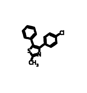 Cc1nc(-c2ccc(Cl)cc2)c(-c2ccccc2)s1